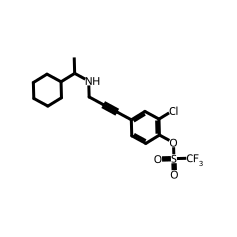 CC(NCC#Cc1ccc(OS(=O)(=O)C(F)(F)F)c(Cl)c1)C1CCCCC1